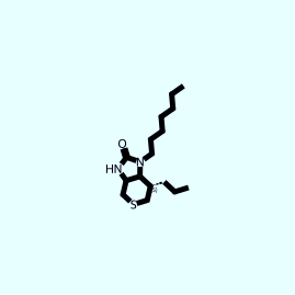 CCCCCCCN1C(=O)NC2CSC[C@@H](CCC)C21